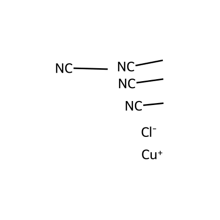 CC#N.CC#N.CC#N.CC#N.[Cl-].[Cu+]